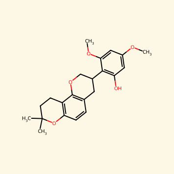 COc1cc(O)c(C2COc3c(ccc4c3CCC(C)(C)O4)C2)c(OC)c1